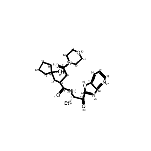 CC[C@H](NC(=O)C(CC(=O)N1CCOCC1)CC1(C)CCCC1)C(=O)c1nc2ncccc2o1